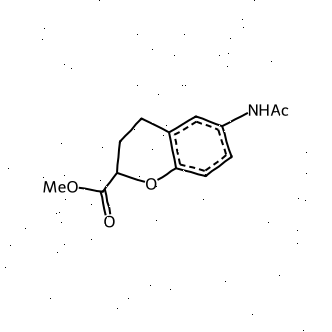 COC(=O)C1CCc2cc(NC(C)=O)ccc2O1